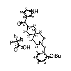 CC(C)COc1ccccc1CN1CCC2(CC1)CCN(C(=O)c1cc[nH]c1)CC2.O=C(O)C(F)(F)F